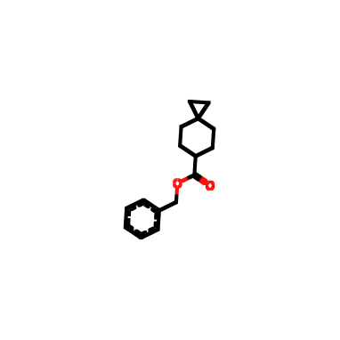 O=C(OCc1ccccc1)C1CCC2(CC1)CC2